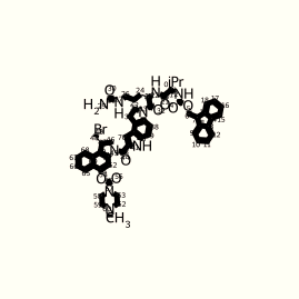 CC(C)[C@@H](NC(=O)OCC1c2ccccc2-c2ccccc21)C(=O)N[C@@H](CCCNC(N)=O)C(=O)N1CCc2c1ccc1[nH]c(C(=O)N3C[C@@H](CBr)c4c3cc(OC(=O)N3CCN(C)CC3)c3ccccc43)cc21